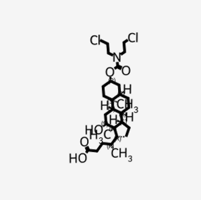 C[C@H](CCC(=O)O)[C@H]1CC[C@H]2[C@@H]3CC[C@@H]4C[C@H](OC(=O)N(CCCl)CCCl)CC[C@]4(C)[C@H]3C[C@H](O)[C@]12C